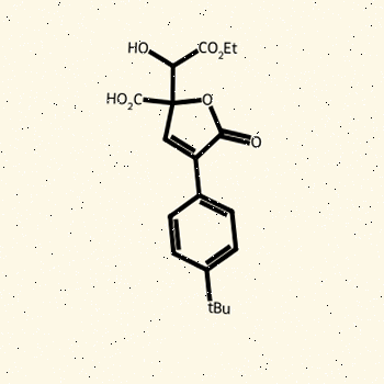 CCOC(=O)C(O)C1(C(=O)O)C=C(c2ccc(C(C)(C)C)cc2)C(=O)O1